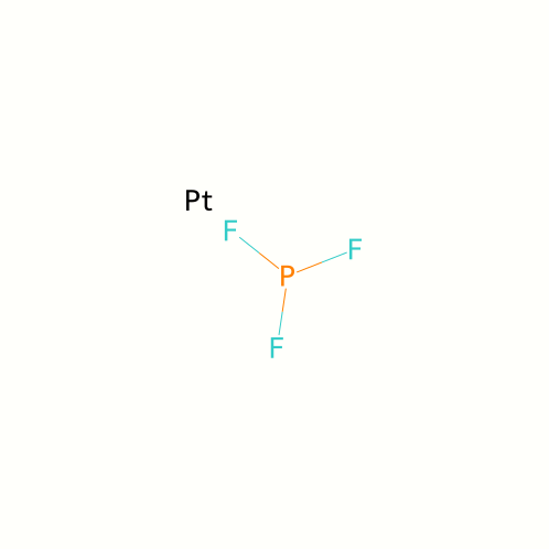 FP(F)F.[Pt]